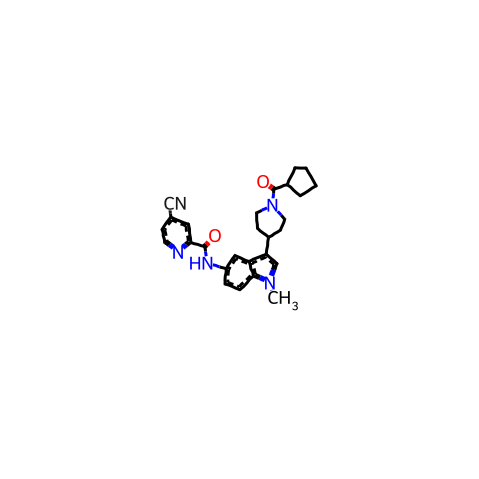 Cn1cc(C2CCN(C(=O)C3CCCC3)CC2)c2cc(NC(=O)c3cc(C#N)ccn3)ccc21